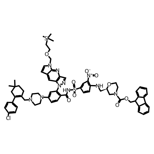 CC1(C)CCC(CN2CCN(c3ccc(C(=O)NS(=O)(=O)c4ccc(NC[C@@H]5CN(C(=O)OCC6c7ccccc7-c7ccccc76)CCO5)c([N+](=O)[O-])c4)c(-n4ncc5nc6c(ccn6COCC[Si](C)(C)C)cc54)c3)CC2)=C(c2ccc(Cl)cc2)C1